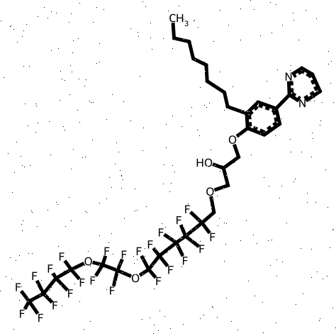 CCCCCCCCc1cc(-c2ncccn2)ccc1OCC(O)COCC(F)(F)C(F)(F)C(F)(F)C(F)(F)C(F)(F)OC(F)(F)C(F)(F)OC(F)(F)C(F)(F)C(F)(F)C(F)(F)F